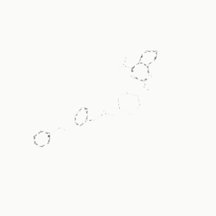 CN(C)c1nc(N[C@H]2CC[C@@H](CNCc3cccc(OCc4ccccc4)c3)CC2)nc2ccccc12